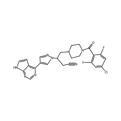 N#CCC(CN1CCN(C(=O)c2c(F)cc(Cl)cc2F)CC1)n1cc(-c2ncnc3[nH]ccc23)cn1